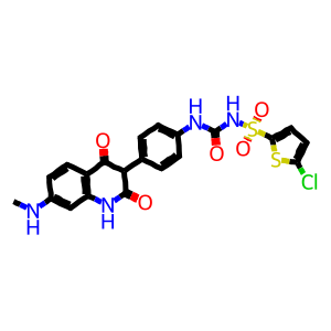 CNc1ccc2c(c1)NC(=O)C(c1ccc(NC(=O)NS(=O)(=O)c3ccc(Cl)s3)cc1)C2=O